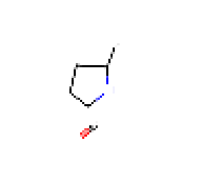 CC1CC[C@@H]([C]=O)N1